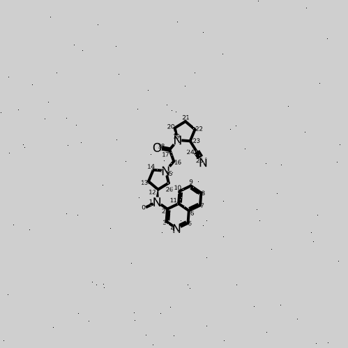 CN(c1cncc2ccccc12)[C@H]1CCN(CC(=O)N2CCCC2C#N)C1